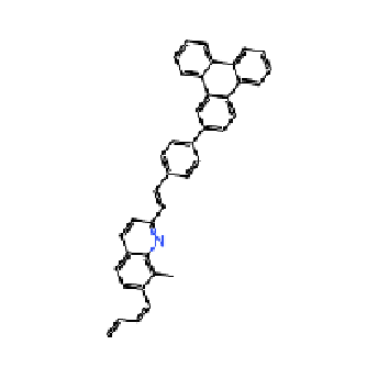 C=C/C=C\c1ccc2ccc(/C=C/c3ccc(-c4ccc5c6ccccc6c6ccccc6c5c4)cc3)nc2c1C